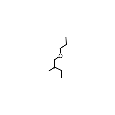 CCCOC[C](C)CC